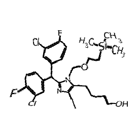 C[Si](C)(C)CCOCn1c(C(c2ccc(F)c(Cl)c2)c2ccc(F)c(Cl)c2)nc(I)c1CCCCO